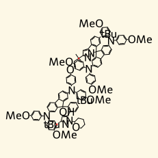 COc1ccc(N(c2ccc(OC)cc2)c2ccc3c(c2)C(O)(c2cc(C(C)(C)C)ccc2-c2cc(C(C)(C)C)nn2C2CCCCO2)c2cc(N(c4ccc(OC)cc4)c4ccc(OCCC(C)(C)c5cc6n(n5)C5(c7cc(N(c8ccc(OC)cc8)c8ccc(OC)cc8)ccc7-c7ccc(N(c8ccc(OC)cc8)c8ccc(OC)cc8)cc75)c5cc(C(C)(C)C)ccc5-6)cc4)ccc2-3)cc1